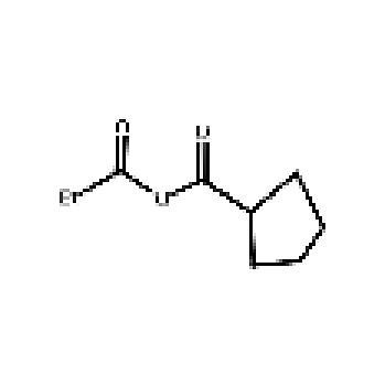 CCC(=O)OC(=O)C1CCCC1